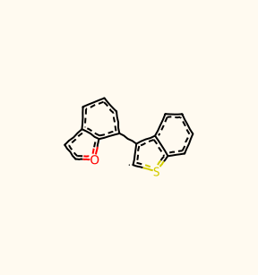 [c]1sc2ccccc2c1-c1cccc2ccoc12